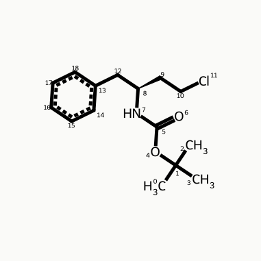 CC(C)(C)OC(=O)N[C@H](CCCl)Cc1ccccc1